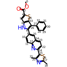 COC(=O)c1cc2[nH]c(-c3ccc4nc(-c5sc(C)nc5C)ccc4c3)c(-c3ccccc3)c2s1